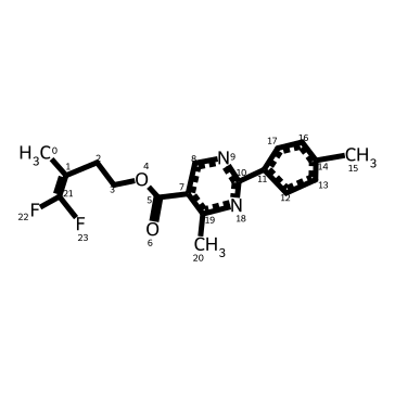 CC(CCOC(=O)c1cnc(-c2ccc(C)cc2)nc1C)=C(F)F